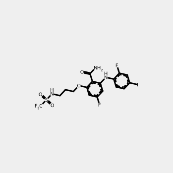 NC(=O)c1c(Nc2ccc(I)cc2F)cc(F)cc1OCCCNS(=O)(=O)C(F)(F)F